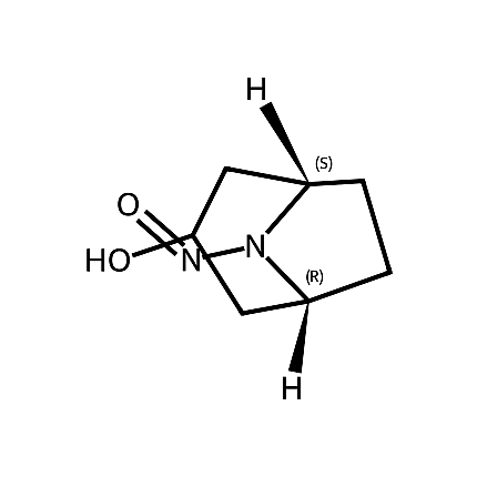 O=NN1[C@@H]2CC[C@H]1CC(O)C2